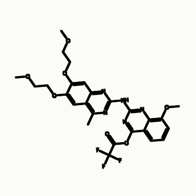 COCCOc1cc2nc(Nc3nc(OC(=O)C(F)(F)F)c4cccc(OC)c4n3)nc(C)c2cc1OCCOC